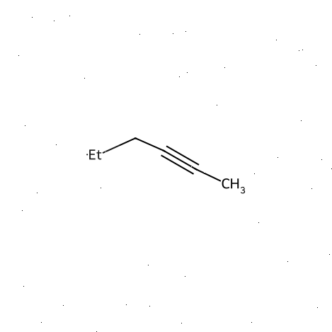 CC#CC[CH]C